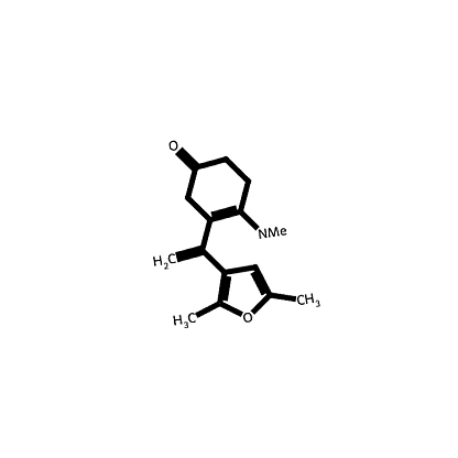 C=C(C1=C(NC)CCC(=O)C1)c1cc(C)oc1C